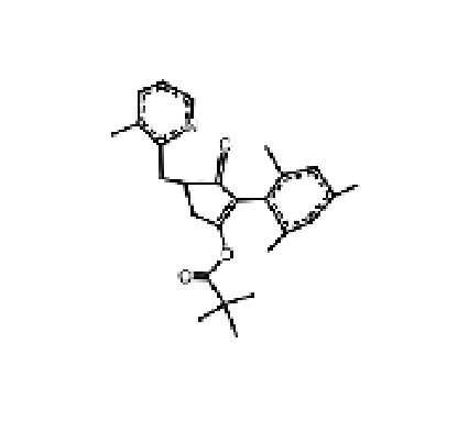 Cc1cc(C)c(C2=C(OC(=O)C(C)(C)C)CC(Cc3ncccc3C)C2=O)c(C)c1